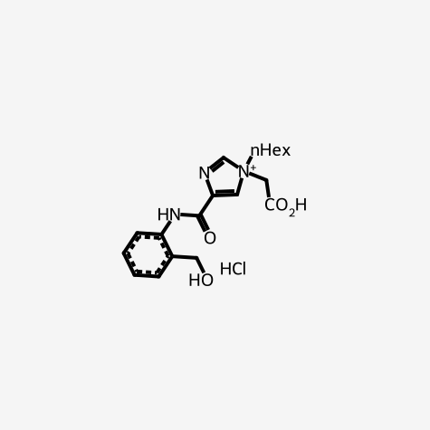 CCCCCC[N+]1(CC(=O)O)C=NC(C(=O)Nc2ccccc2CO)=C1.Cl